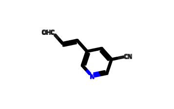 N#Cc1cncc(/C=C/C=O)c1